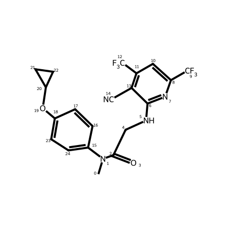 CN(C(=O)CNc1nc(C(F)(F)F)cc(C(F)(F)F)c1C#N)c1ccc(OC2CC2)cc1